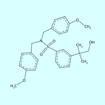 COc1ccc(CN(Cc2ccc(OC)cc2)S(=O)(=O)c2cccc(C(C)(C)CO)c2)cc1